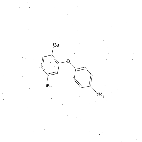 CC(C)(C)c1[c]cc(C(C)(C)C)c(Oc2ccc(N)cc2)c1